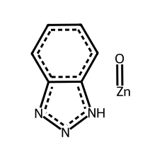 [O]=[Zn].c1ccc2[nH]nnc2c1